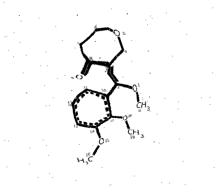 COC(=C1COCCC1=O)c1cccc(OC)c1OC